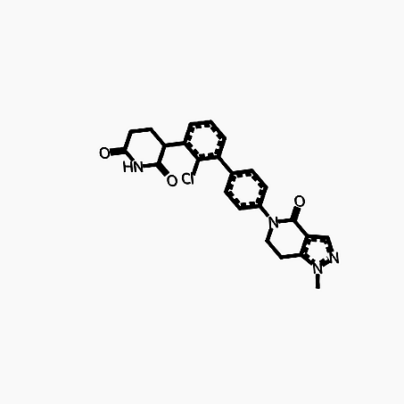 Cn1ncc2c1CCN(c1ccc(-c3cccc(C4CCC(=O)NC4=O)c3Cl)cc1)C2=O